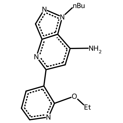 CCCCn1ncc2nc(-c3cccnc3OCC)cc(N)c21